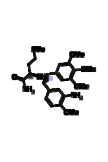 COc1ccc(/C=C\c2cc(OC)c(OC)c(OC)c2)cc1N.CSCC[C@@H](N)C(N)=O